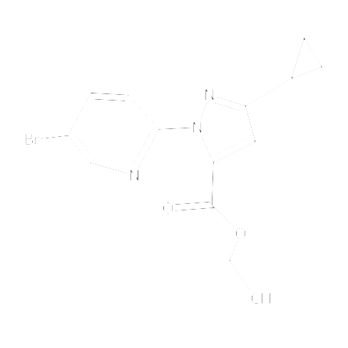 CCOC(=O)c1cc(C2CC2)nn1-c1ccc(Br)cn1